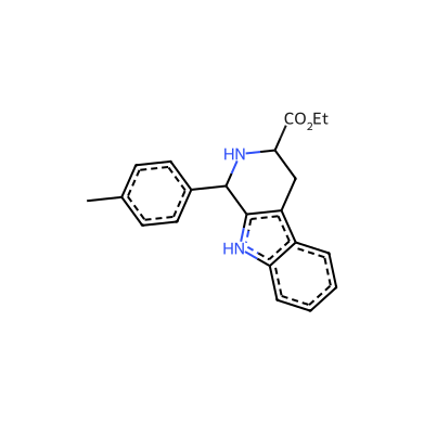 CCOC(=O)C1Cc2c([nH]c3ccccc23)C(c2ccc(C)cc2)N1